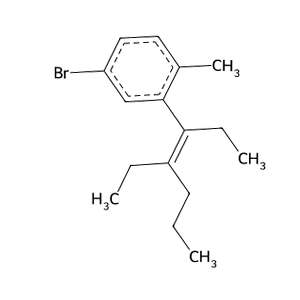 CCC/C(CC)=C(\CC)c1cc(Br)ccc1C